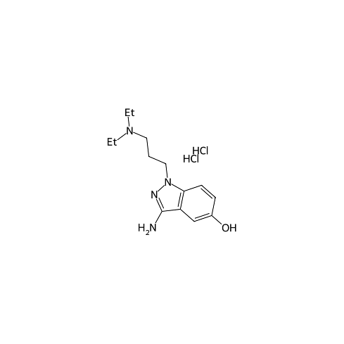 CCN(CC)CCCn1nc(N)c2cc(O)ccc21.Cl.Cl